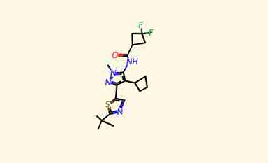 Cn1nc(-c2cnc(C(C)(C)C)s2)c(C2CCC2)c1NC(=O)C1CC(F)(F)C1